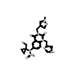 Cn1cc(Cn2c(=O)c3cc(N([SH](=O)=O)C4(CF)CC4)ccc3n(Cc3c[nH]cn3)c2=O)cn1